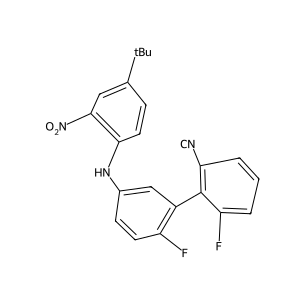 [C-]#[N+]c1cccc(F)c1-c1cc(Nc2ccc(C(C)(C)C)cc2[N+](=O)[O-])ccc1F